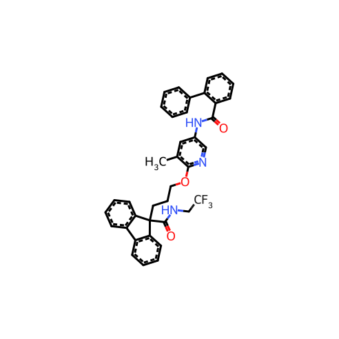 Cc1cc(NC(=O)c2ccccc2-c2ccccc2)cnc1OCCCC1(C(=O)NCC(F)(F)F)c2ccccc2-c2ccccc21